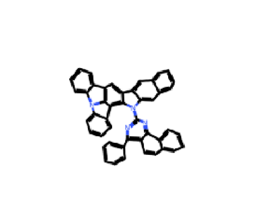 c1ccc(-c2nc(-n3c4cc5ccccc5cc4c4cc5c6ccccc6n6c7ccccc7c(c43)c56)nc3c2ccc2ccccc23)cc1